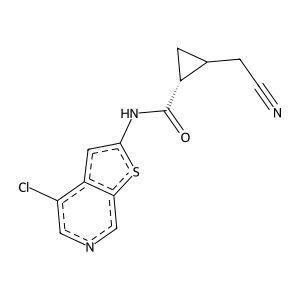 N#CCC1C[C@H]1C(=O)Nc1cc2c(Cl)cncc2s1